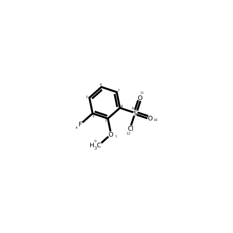 COc1c(F)cccc1S(=O)(=O)Cl